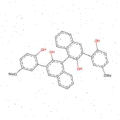 COc1ccc(O)c(-c2cc3ccccc3c(-c3c(O)c(-c4cc(OC)ccc4O)cc4ccccc34)c2O)c1